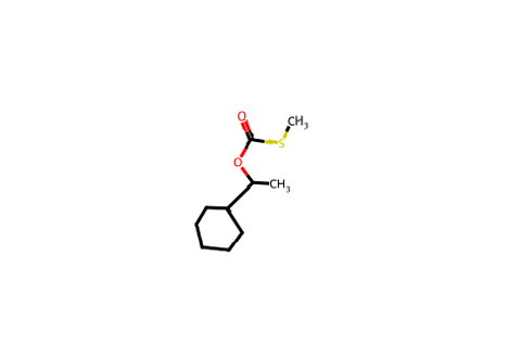 CSC(=O)OC(C)C1CCCCC1